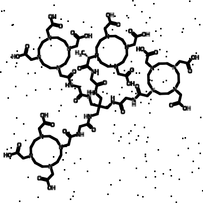 C[C@@H](C(=O)NCC(=O)NCC(CNC(=O)CNC(=O)CN1CCN(CC(=O)O)CCN(CC(=O)O)CCN(CC(=O)O)CC1)(CNC(=O)CNC(=O)CN1CCN(CC(=O)O)CCN(CC(=O)O)CCN(CC(=O)O)CC1)CNC(=O)CNC(=O)CN1CCN(CC(=O)O)CCN(CC(=O)O)CCN(CC(=O)O)CC1)N1CCN(CC(=O)O)CCN(CC(=O)O)CCN(CC(=O)O)CC1